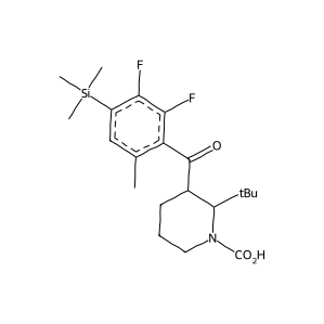 Cc1cc([Si](C)(C)C)c(F)c(F)c1C(=O)C1CCCN(C(=O)O)C1C(C)(C)C